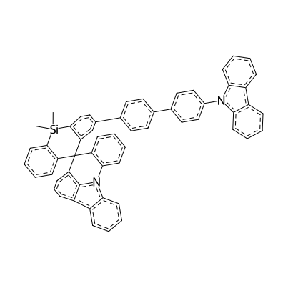 C[Si]1(C)c2ccccc2C2(c3ccccc3-n3c4ccccc4c4cccc2c43)c2cc(-c3ccc(-c4ccc(-n5c6ccccc6c6ccccc65)cc4)cc3)ccc21